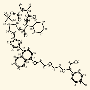 [CH2]c1ccc(C(C[O])OCCOCCOc2ccc(-c3csc(C4CCCN4C(=O)[C@@H](NC(=O)[C@H](C)N(C)C(=O)OC(C)(C)C)C4CCCCC4)n3)c3ccccc23)cc1